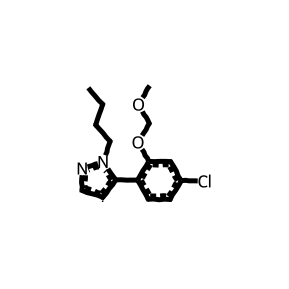 CCCCn1nc[c]c1-c1ccc(Cl)cc1OCOC